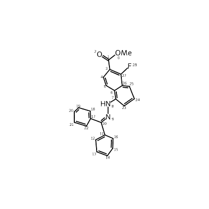 COC(=O)c1ccc2c(NN=C(c3ccccc3)c3ccccc3)cccc2c1F